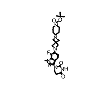 Cn1nc(N2CCC(=O)NC2=O)c2ccc(N3CC4(C3)CN(C3CCN(C(=O)OC(C)(C)C)CC3)C4)c(F)c21